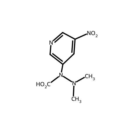 CN(C)N(C(=O)O)c1cncc([N+](=O)[O-])c1